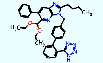 CCCCc1nc2cc(-c3ccccc3)c(C(OCC)OCC)nc2n1Cc1ccc(-c2ccccc2-c2nnn[nH]2)cc1